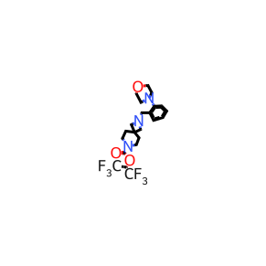 O=C(OC(C(F)(F)F)C(F)(F)F)N1CCC2(CC1)CN(Cc1ccccc1N1CCOCC1)C2